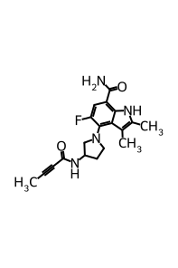 CC#CC(=O)NC1CCN(c2c(F)cc(C(N)=O)c3[nH]c(C)c(C)c23)C1